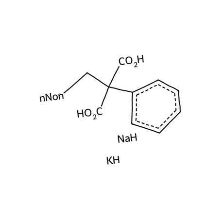 CCCCCCCCCCC(C(=O)O)(C(=O)O)c1ccccc1.[KH].[NaH]